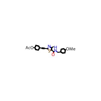 COc1ccc(CNC(=O)c2sc(C#Cc3ccc(OC(C)=O)cc3)nc2C)cc1